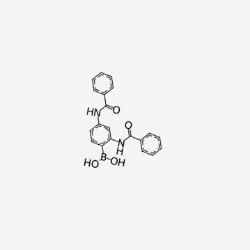 O=C(Nc1ccc(B(O)O)c(NC(=O)c2ccccc2)c1)c1ccccc1